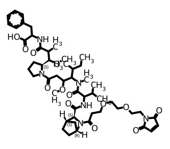 CCC(C)C(C(CC(=O)N1CCC[C@H]1C(OC)C(C)C(=O)NC(Cc1ccccc1)C(=O)O)OC)N(C)C(=O)C(NC(=O)[C@@H]1[C@H]2CC[C@H](C2)N1C(=O)CCOCCOCCN1C(=O)C=CC1=O)C(C)C